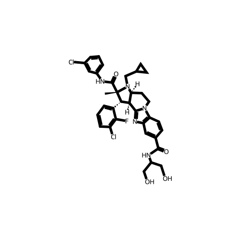 C[C@]1(C(=O)Nc2cccc(Cl)c2)[C@@H](c2cccc(Cl)c2F)[C@@H]2c3nc4cc(C(=O)NC(CO)CO)ccc4n3CC[C@@H]2N1CC1CC1